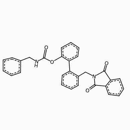 O=C(NCc1ccccc1)Oc1ccccc1-c1ccccc1CN1C(=O)c2ccccc2C1=O